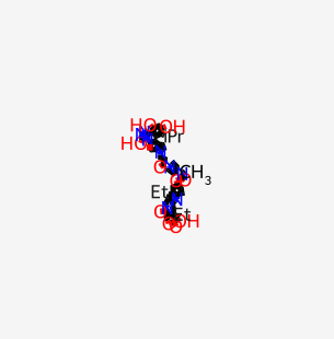 CCc1c2c(nc3ccc(OC(=O)N(C)C4CCN(C(=O)CCn5ccc6cc(-n7c(O)nnc7-c7cc(C(C)C)c(O)cc7O)ccc65)CC4)cc13)-c1cc3c(c(=O)n1C2)COC(=O)C3(O)CC